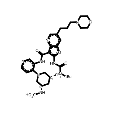 CC(C)(C)OC(=O)Nc1oc2cc(CCCN3CCOCC3)cnc2c1C(=O)Nc1cnccc1N1C[C@@H](NC(=O)O)C[C@@H](C(F)(F)F)C1